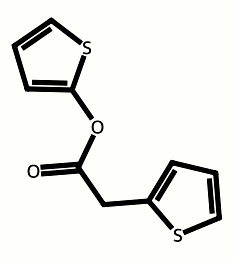 O=C(Cc1cccs1)Oc1cccs1